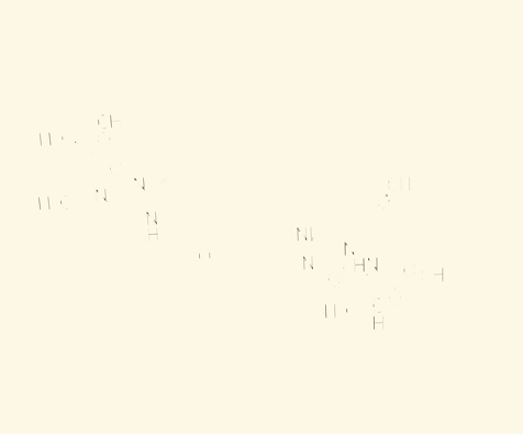 COC[C@H]1C[C@@H](c2ncc(-c3ccc4c(c3)COc3cc5c(ccc6nc([C@@H]7CC[C@H](C)N7C(=O)C[C@@H](C)OC)[nH]c65)cc3-4)[nH]2)N(C(=O)[C@@H](NC(=O)OC)C(C)C)C1